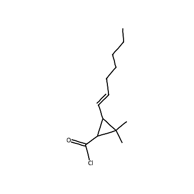 CCCCCC=CC1C(C(=O)Cl)C1(C)C